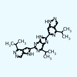 CC(C)c1nc(-c2nc3c(C(C)C)nc(-c4cc5c(C(C)C)nncc5[nH]4)nc3[nH]2)cc2[nH]ncc12